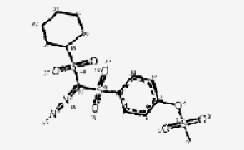 CS(=O)(=O)Oc1ccc(S(=O)(=O)C(=[N+]=[N-])S(=O)(=O)C2CCCCC2)cc1